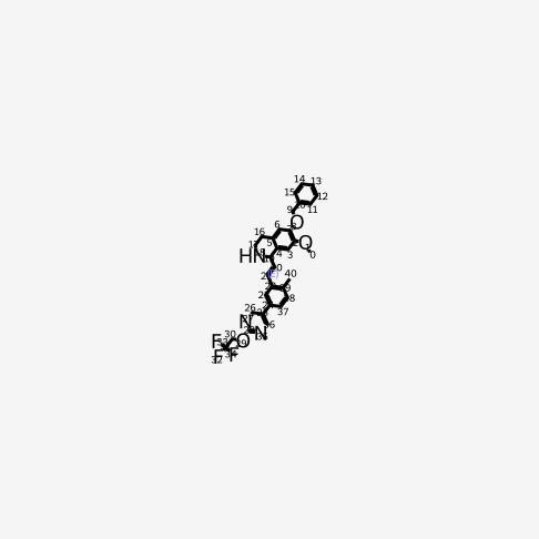 COc1cc2c(cc1OCc1ccccc1)CCNC2/C=C/c1cc(-c2cnc(OCC(F)(F)F)nc2)ccc1C